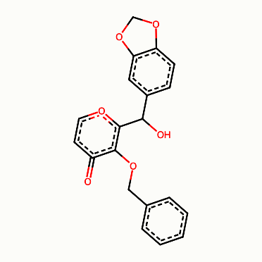 O=c1ccoc(C(O)c2ccc3c(c2)OCO3)c1OCc1ccccc1